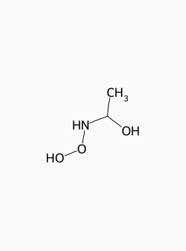 CC(O)NOO